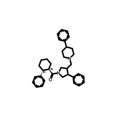 O=C([C@@H]1CCCC[C@H]1c1ccccc1)N1CC(CN2CCC(c3ccccc3)CC2)C(c2ccccc2)C1